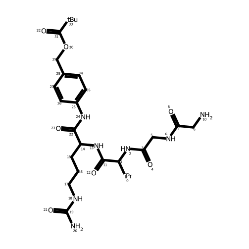 CC(C)C(NC(=O)CNC(=O)CN)C(=O)NC(CCCNC(N)=O)C(=O)Nc1ccc(COC(=O)C(C)(C)C)cc1